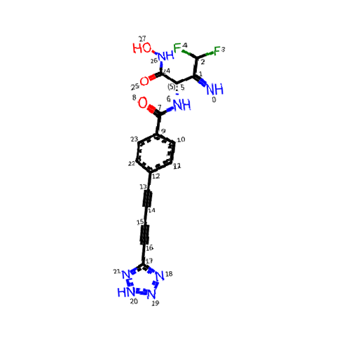 N=C(C(F)F)[C@H](NC(=O)c1ccc(C#CC#Cc2nn[nH]n2)cc1)C(=O)NO